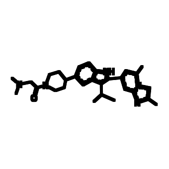 Cc1cn2c(C)cc(-c3[nH]c4ccc(C5CCN(C(=O)CN(C)C)CC5)cc4c3C(C)C)cc2n1